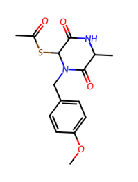 COc1ccc(CN2C(=O)C(C)NC(=O)C2SC(C)=O)cc1